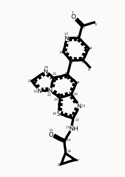 CC(=O)c1cc(C)c(-c2cc3nc(NC(=O)C4CC4)sc3n3ncnc23)cn1